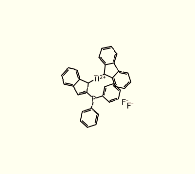 C1=C(P(c2ccccc2)c2ccccc2)[CH]([Ti+2][CH]2c3ccccc3-c3ccccc32)c2ccccc21.[F-].[F-]